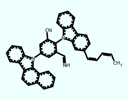 C/C=C\C=C/c1ccc2c3ccccc3n(-c3c(C#N)cc(-n4c5ccccc5c5ccc6ccccc6c54)cc3C=N)c2c1